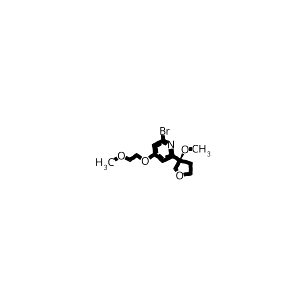 COCCOc1cc(Br)nc([C@]2(OC)CCOC2)c1